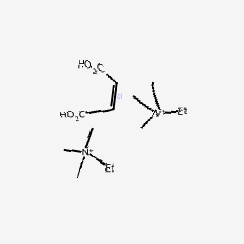 CC[N+](C)(C)C.CC[N+](C)(C)C.O=C(O)/C=C\C(=O)O